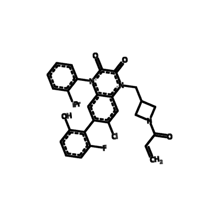 C=CC(=O)N1CC(Cn2c(=O)c(=O)n(-c3ccccc3C(C)C)c3cc(-c4c(O)cccc4F)c(Cl)cc32)C1